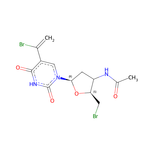 C=C(Br)c1cn([C@H]2CC(NC(C)=O)[C@@H](CBr)O2)c(=O)[nH]c1=O